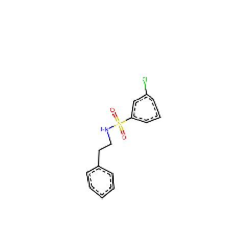 O=S(=O)(NCCc1cc[c]cc1)c1cccc(Cl)c1